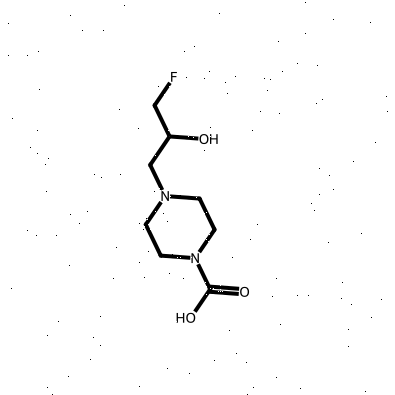 O=C(O)N1CCN(CC(O)CF)CC1